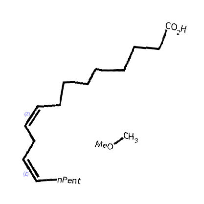 CCCCC/C=C\C/C=C\CCCCCCCC(=O)O.COC